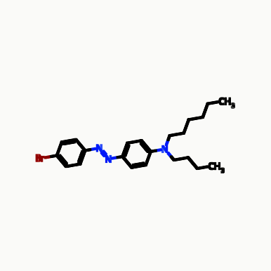 CCCCCCN(CCCC)c1ccc(N=Nc2ccc(Br)cc2)cc1